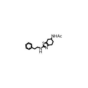 CC(=O)NC1CCc2nc(NCCc3ccccc3)sc2C1